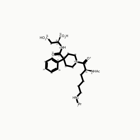 CC(=O)N[C@@H](CCCCNC(C)C)C(=O)N1CCC(C(=O)N[C@@H](CC(=O)O)C(=O)O)(c2ccccc2)CC1